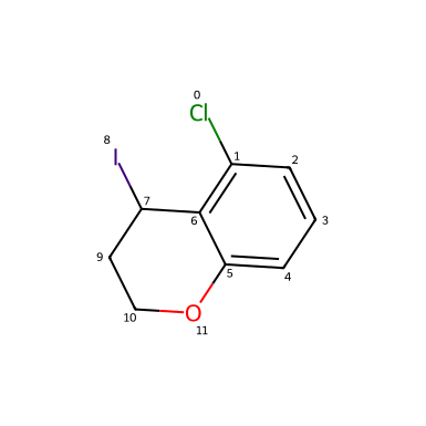 Clc1cccc2c1C(I)CCO2